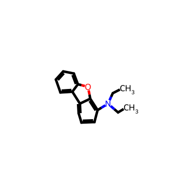 CCN(CC)c1cccc2c1oc1ccccc12